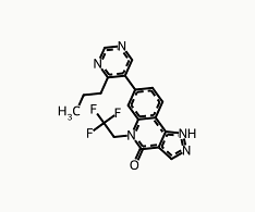 CCCc1ncncc1-c1ccc2c3[nH]ncc3c(=O)n(CC(F)(F)F)c2c1